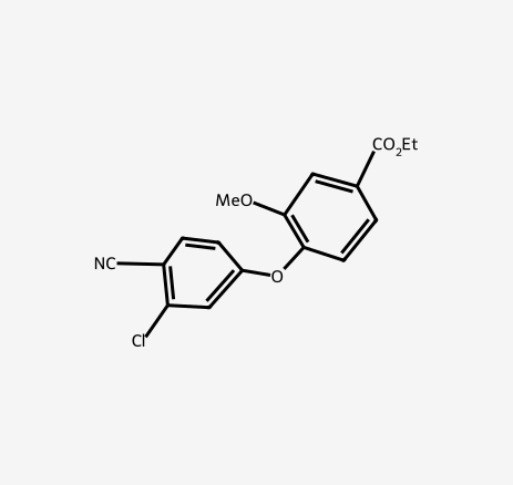 CCOC(=O)c1ccc(Oc2ccc(C#N)c(Cl)c2)c(OC)c1